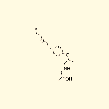 C=CCOCCc1ccc(OC(C)CNCC(C)O)cc1